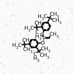 CC=[P](Oc1ccc(C(C)(C)C)cc1C(C)(C)C)Oc1ccc(C(C)(C)C)cc1C(C)(C)C